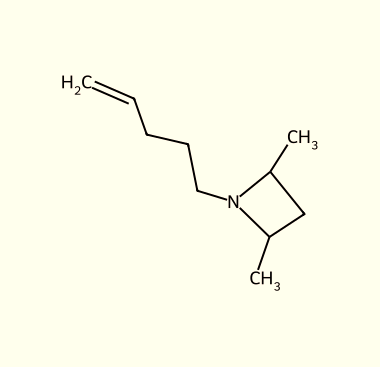 C=CCCCN1C(C)CC1C